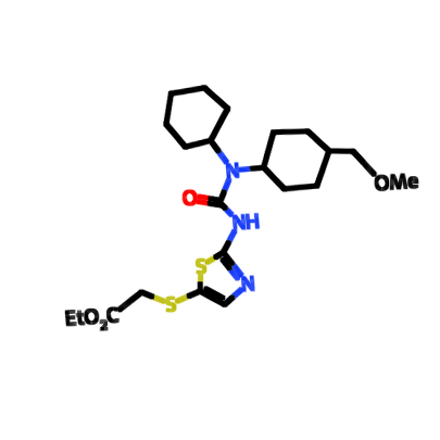 CCOC(=O)CSc1cnc(NC(=O)N(C2CCCCC2)C2CCC(COC)CC2)s1